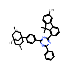 C[C@@H]1C[C@@H]2C[C@H](C)CC(c3ccc(-c4nc(-c5ccccc5)nc(-c5cccc6c5C(C)(C)c5ccc(C#N)cc5-6)n4)cc3)(C1)C2